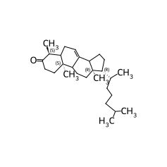 CC(C)CCCC(C)[C@H]1CCC2C3=CCC4[C@H](C)C(=O)CC[C@]4(C)C3CC[C@@]21C